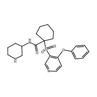 O=C(NC1CCCNC1)C1(S(=O)(=O)c2cnccc2Oc2ccccc2)CCCCC1